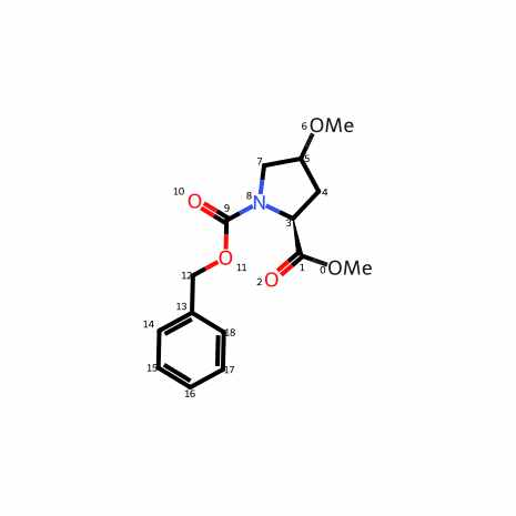 COC(=O)[C@@H]1CC(OC)CN1C(=O)OCc1ccccc1